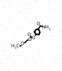 CCOCCOC(=O)Oc1ccc(C(N)=O)cc1